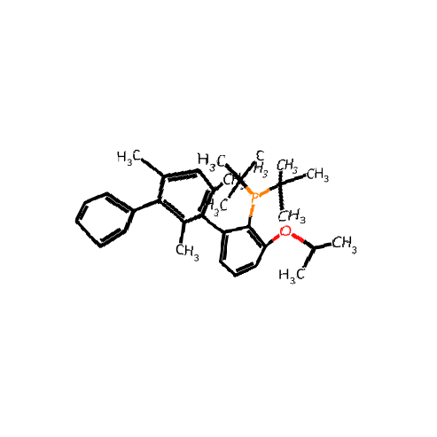 Cc1cc(C)c(-c2cccc(OC(C)C)c2P(C(C)(C)C)C(C)(C)C)c(C)c1-c1ccccc1